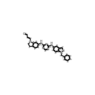 O=CC=CN1CCc2ccc(Nc3ncnc(Nc4ccc5c(cnn5Cc5ccccc5)c4)n3)cc21